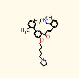 Cc1ccccc1-c1ccc(OCCCCCN2CCCC2)c(C(=O)C=Cc2ccccc2CN(C)C)c1